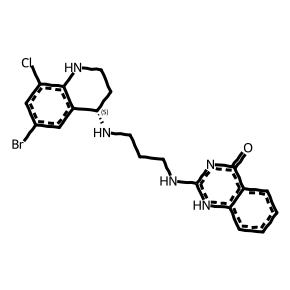 O=c1nc(NCCCN[C@H]2CCNc3c(Cl)cc(Br)cc32)[nH]c2ccccc12